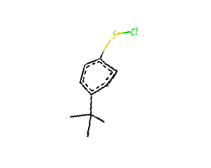 CC(C)(C)c1ccc(SCl)cc1